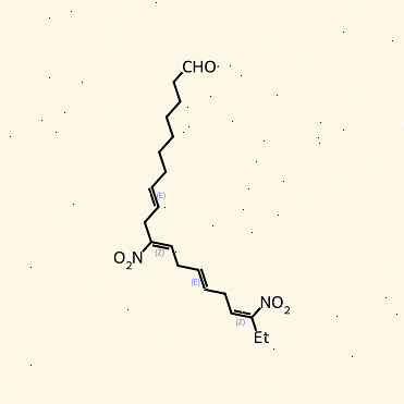 CC/C(=C/C/C=C/C/C=C(/C/C=C/CCCCCC[C]=O)[N+](=O)[O-])[N+](=O)[O-]